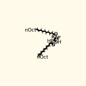 CCCCCCCC/C=C/CCCCCCCC(=O)[P-]C(C(O)PC(=O)CCCCCCC/C=C/CCCCCCCC)[N+](C)(C)C